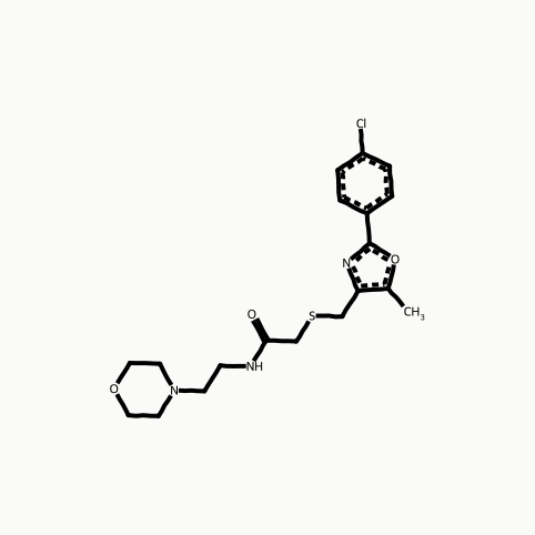 Cc1oc(-c2ccc(Cl)cc2)nc1CSCC(=O)NCCN1CCOCC1